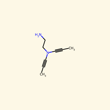 CC#CN(C#CC)CCN